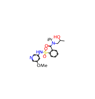 COc1cncc(NS(=O)(=O)c2ccccc2C(=O)N(CC(C)O)C(C)C)c1